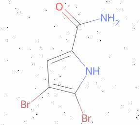 NC(=O)c1cc(Br)c(Br)[nH]1